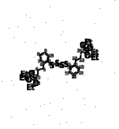 CCO[Si](CCCc1ccccc1SSSSc1ccccc1CCC[Si](OCC)(OCC)OCC)(OCC)OCC